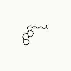 CC(C)CCC[C@@H](C)C1CC[C@H]2[C@@H]3CC=C4C[C@@H](C)CC[C@]4(C)[C@H]3CC[C@]12C